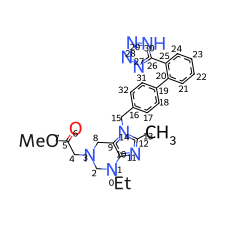 CCN1CN(CC(=O)OC)Cc2c1nc(C)n2Cc1ccc(-c2ccccc2-c2nnn[nH]2)cc1